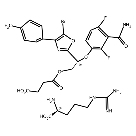 N=C(N)NCCC[C@H](N)C(=O)O.NC(=O)c1c(F)ccc(O[C@H](COC(=O)CCC(=O)O)c2nc(-c3ccc(C(F)(F)F)cc3)c(Br)o2)c1F